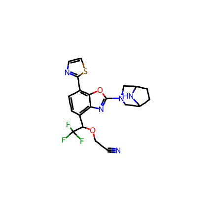 N#CCOC(c1ccc(-c2nccs2)c2oc(N3CC4CCC(C3)N4)nc12)C(F)(F)F